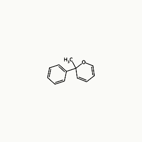 CC1(c2ccccc2)C=CC=CO1